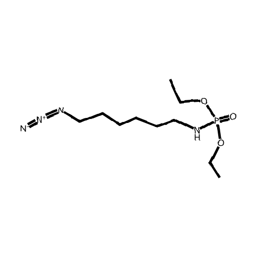 CCOP(=O)(NCCCCCCN=[N+]=[N-])OCC